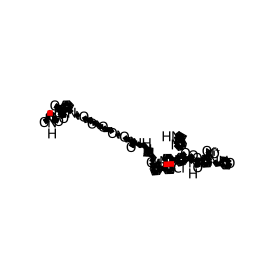 O=C(CCOCCOCCOCCOCCOCCNc1cccc2c1C(=O)N(C1CCC(=O)NC1=O)C2=O)NCCN1CC(COc2cccc(-c3ccc(Cl)cc3)c2CN2CCN(c3ccc(C(=O)NS(=O)(=O)c4ccc(NCC5CCOCC5)c([N+](=O)[O-])c4)c(Oc4cnc5[nH]ccc5c4)c3)CC2)C1